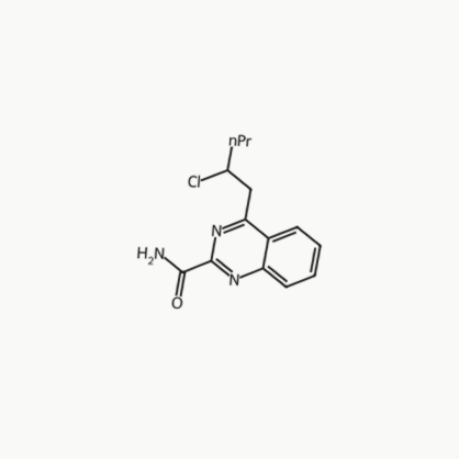 CCCC(Cl)Cc1nc(C(N)=O)nc2ccccc12